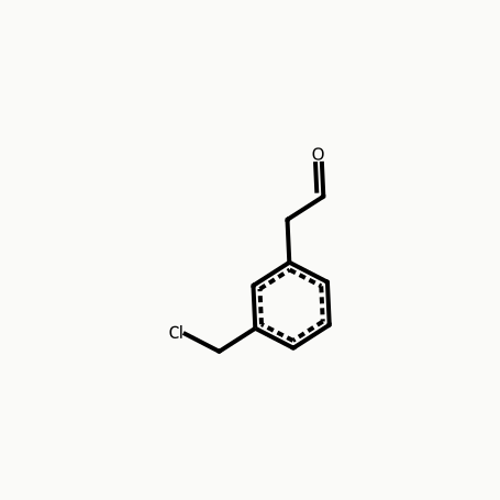 O=CCc1cccc(CCl)c1